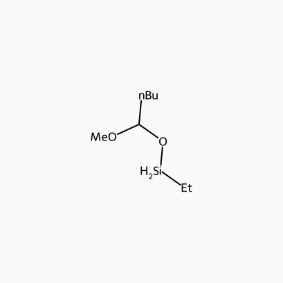 CCCCC(OC)O[SiH2]CC